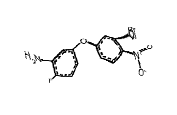 Nc1cc(Oc2ccc([N+](=O)[O-])c(Br)c2)ccc1F